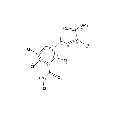 CCNC(=O)c1c(Cl)c(Cl)cc(NC=C(C#N)C(=O)OC)c1Cl